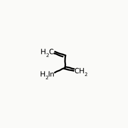 C=C[C](=C)[InH2]